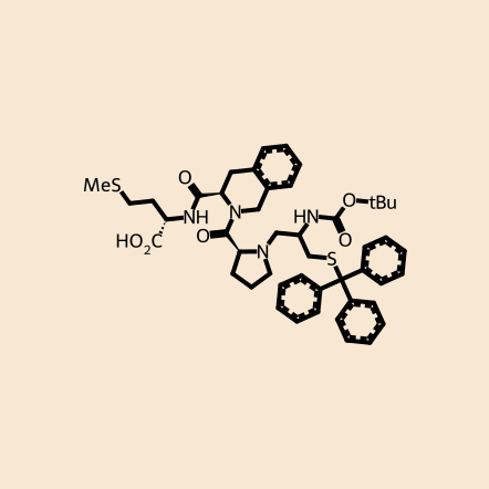 CSCC[C@H](NC(=O)[C@H]1Cc2ccccc2CN1C(=O)[C@@H]1CCCN1CC(CSC(c1ccccc1)(c1ccccc1)c1ccccc1)NC(=O)OC(C)(C)C)C(=O)O